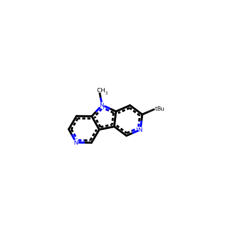 Cn1c2ccncc2c2cnc(C(C)(C)C)cc21